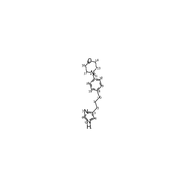 [CH](CCc1c[nH]cn1)c1ccc(N2CCOCC2)cc1